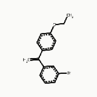 C=C(c1ccc(OCC)cc1)c1cccc(Br)c1